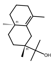 CC1=C2C[C@](C)(C(C)(C)O)CC[C@@]2(C)CCC1